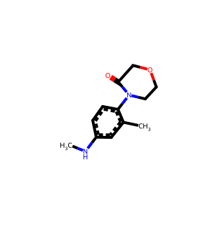 CNc1ccc(N2CCOCC2=O)c(C)c1